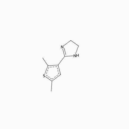 Cc1cc(C2=NCCN2)c(C)s1